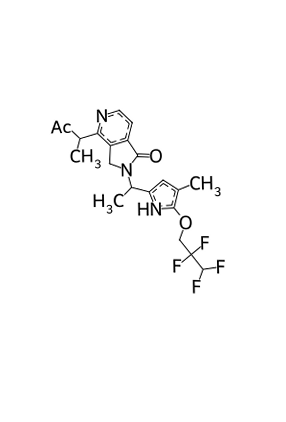 CC(=O)C(C)c1nccc2c1CN(C(C)c1cc(C)c(OCC(F)(F)C(F)F)[nH]1)C2=O